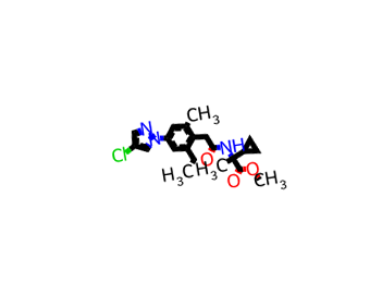 CCc1cc(-n2cc(Cl)cn2)cc(C)c1CC(=O)NC(C)(C(=O)OC)C1CC1